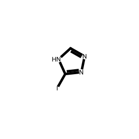 Ic1nnc[nH]1